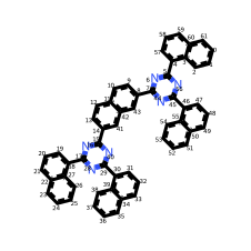 c1ccc2c(-c3nc(-c4ccc5ccc(-c6nc(-c7cccc8ccccc78)nc(-c7cccc8ccccc78)n6)cc5c4)nc(-c4cccc5ccccc45)n3)cccc2c1